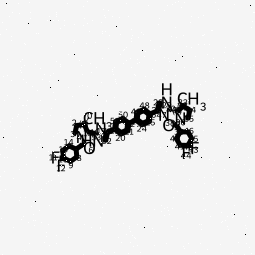 C[C@H]1CCN(C(=O)C2CCC(F)(F)CC2)C1c1nc(-c2ccc(-c3ccc(-c4c[nH]c([C@@H]5[C@@H](C)CCN5C(=O)C5CCC(F)(F)CC5)n4)cc3)cc2)c[nH]1